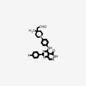 CC1(CC=O)CCN(c2ccc(Nc3nc(-c4ccc(F)cc4)nc4cn[nH]c(=O)c34)cc2)CC1